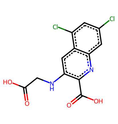 O=C(O)CNc1cc2c(Cl)cc(Cl)cc2nc1C(=O)O